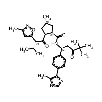 Cc1cc([C@H](C(=O)C2C[C@H](C)C[C@H]2C(=O)N[C@@H](CC(=O)C(C)(C)C)c2ccc(-c3scnc3C)cc2)C(C)C)on1